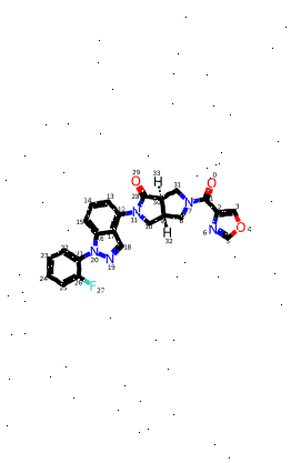 O=C(c1cocn1)N1C[C@@H]2CN(c3cccc4c3cnn4-c3ccccc3F)C(=O)[C@H]2C1